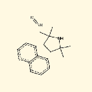 CC1(C)CCC(C)(C)N1.N=O.c1ccc2ncccc2c1